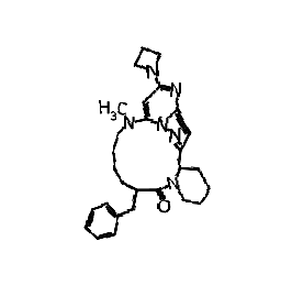 CN1CCCCC(Cc2ccccc2)C(=O)N2CCCCC2c2cc3nc(N4CCC4)cc1n3n2